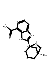 NC(=O)c1cccc2nc([C@@]34CCC[C@H](CN3)C4)oc12